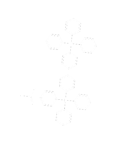 O=[Si]([O-])[O-].c1ccc([P+](c2ccccc2)(c2ccccc2)c2ccccc2)cc1.c1ccc([P+](c2ccccc2)(c2ccccc2)c2ccccc2)cc1